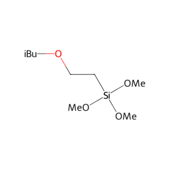 CCC(C)OCC[Si](OC)(OC)OC